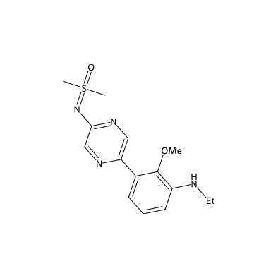 CCNc1cccc(-c2cnc(N=S(C)(C)=O)cn2)c1OC